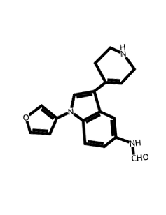 O=CNc1ccc2c(c1)c(C1=CCNCC1)cn2-c1ccoc1